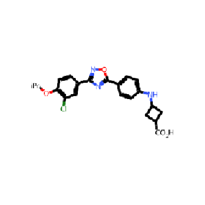 CC(C)Oc1ccc(-c2noc(-c3ccc(NC4CC(C(=O)O)C4)cc3)n2)cc1Cl